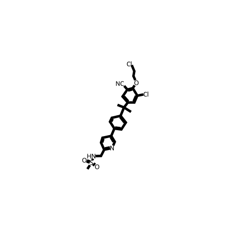 CC(C)(c1ccc(-c2ccc(CNS(C)(=O)=O)nc2)cc1)c1cc(Cl)c(OCCCl)c(C#N)c1